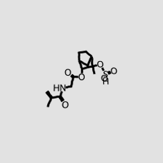 C=C(C)C(=O)NCC(=O)OC1C2CCC(C2)C1(C)O[SH](=O)=O